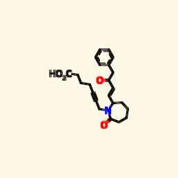 O=C(O)CCCC#CCN1C(=O)CCCCC1C=CC(=O)Cc1ccccc1